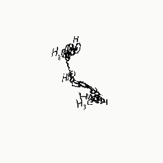 C[C@@H]1CNc2c(sc3ccc4nc(-c5cccc(OC6CCC(NC(=O)CCCCCCCc7ccc8c(c7)n(C)c(=O)n8C7CCC(=O)NC7=O)CC6)c5)ccc4c23)C(=O)N1